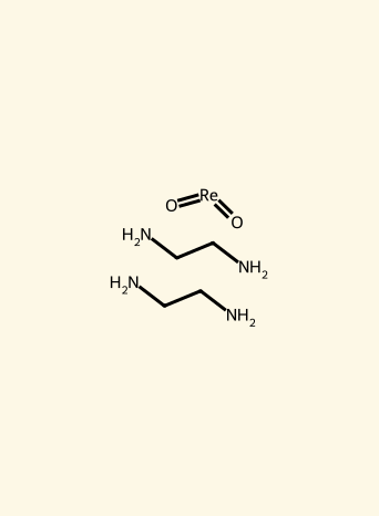 NCCN.NCCN.[O]=[Re]=[O]